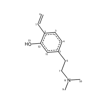 C=Cc1ccc(CCN(C)C)cc1O